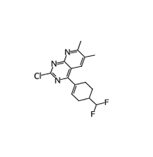 Cc1cc2c(C3=CCC(C(F)F)CC3)nc(Cl)nc2nc1C